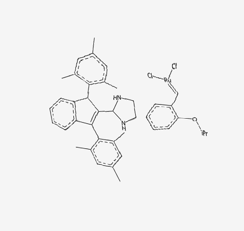 CC(C)Oc1ccccc1[CH]=[Ru]([Cl])[Cl].Cc1cc(C)c(C2=C(C3NCCN3)C(c3c(C)cc(C)cc3C)c3ccccc32)c(C)c1